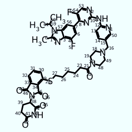 Cc1nc2c(F)cc(-c3nc(Nc4ccc(CN5CCN(C(=O)CCCCCSc6cccc7c6C(=O)N(C6CCC(=O)NC6=O)C7=O)CC5)cn4)ncc3F)cc2n1C(C)C